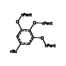 [CH2]CCCc1cc(OCCCCC)c(OCCCCC)c(OCCCCC)c1